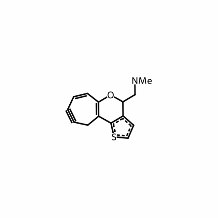 CNCC1OC2=C(CC#CC=C2)c2sccc21